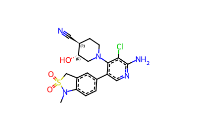 CN1c2ccc(-c3cnc(N)c(Cl)c3N3CC[C@H](C#N)[C@@H](O)C3)cc2CS1(=O)=O